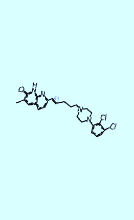 Cc1cc2ccc(/C=C/CCCN3CCN(c4cccc(Cl)c4Cl)CC3)nc2[nH]c1=O